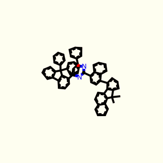 CC1(C)c2cccc(-c3ccc(-c4nc(-c5ccccc5)cc(-c5cccc6c5C(c5ccccc5)(c5ccccc5)c5ccccc5-6)n4)c4ccccc34)c2-c2ccc3ccccc3c21